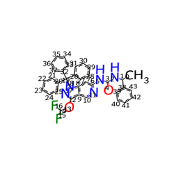 CC(NC(=O)Nc1cc2c(cn1)c(OC(F)F)nn2C(c1ccccc1)(c1ccccc1)c1ccccc1)c1ccccc1